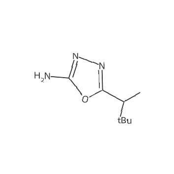 CC(c1nnc(N)o1)C(C)(C)C